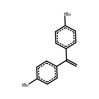 C=C(c1ccc(C(C)(C)C)cc1)c1ccc(C(C)(C)C)cc1